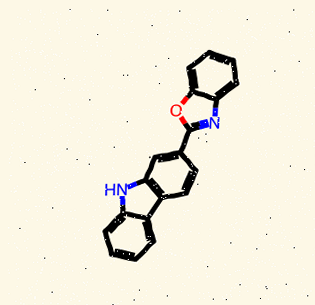 [c]1c(-c2nc3ccccc3o2)ccc2c1[nH]c1ccccc12